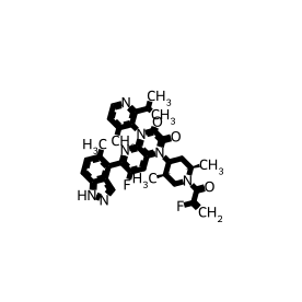 C=C(F)C(=O)N1C[C@@H](C)C(n2c(=O)c(=O)n(-c3c(C)ccnc3C(C)C)c3nc(-c4c(C)ccc5[nH]ncc45)c(F)cc32)C[C@H]1C